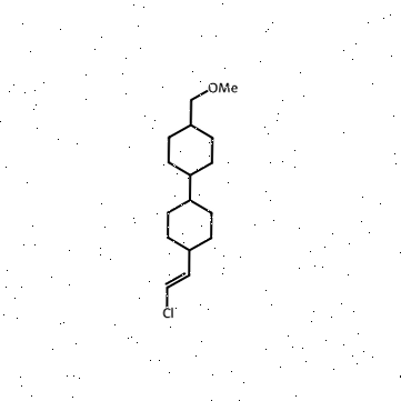 COCC1CCC(C2CCC(/C=C/Cl)CC2)CC1